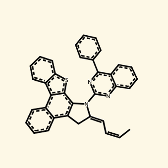 C/C=C\C=C1/Cc2c(c3sc4ccccc4c3c3ccccc23)N1c1nc(-c2ccccc2)c2ccccc2n1